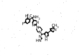 Cn1cc(-c2c[nH]c(/C(=N\C=N)N3CCN(c4ncc([C@@](C)(N)c5ccc(F)cc5F)cn4)CC3)c2)cn1